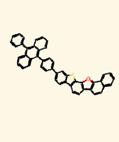 c1ccc(-c2c3ccccc3c(-c3ccc(-c4ccc5c(c4)sc4c5ccc5c6ccc7ccccc7c6oc54)cc3)c3ccccc23)cc1